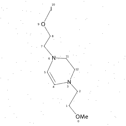 COCCN1C=CN(CCOI)CC1